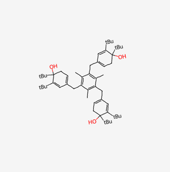 Cc1c(CC2=CCC(O)(C(C)(C)C)C(C(C)(C)C)=C2)c(C)c(CC2=CCC(O)(C(C)(C)C)C(C(C)(C)C)=C2)c(C)c1CC1=CCC(O)(C(C)(C)C)C(C(C)(C)C)=C1